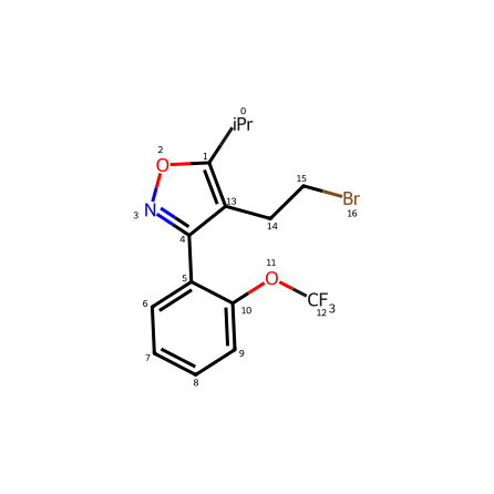 CC(C)c1onc(-c2ccccc2OC(F)(F)F)c1CCBr